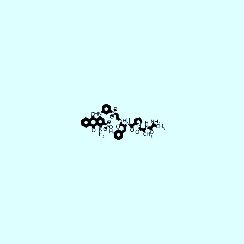 CC(N)C(=O)NC(C)C(=O)N1CCCC1C(=O)NC(Cc1ccccc1)C(=O)NCCS(=O)(=O)c1cccc(Nc2cc(S(=O)(=O)O)c(N)c3c2C(=O)c2ccccc2C3=O)c1